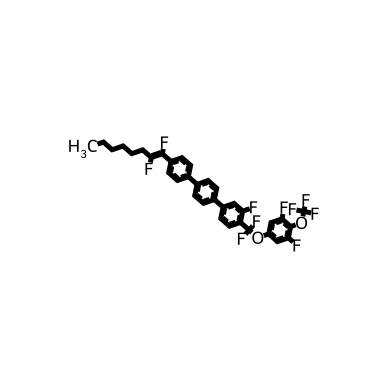 CCCCCC/C(F)=C(\F)c1ccc(-c2ccc(-c3ccc(C(F)(F)Oc4cc(F)c(OC(F)(F)F)c(F)c4)c(F)c3)cc2)cc1